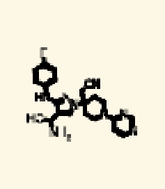 N#CCC1(n2cc(C(N)O)c(Nc3ccc(F)cc3)n2)CCN(c2ccncn2)CC1